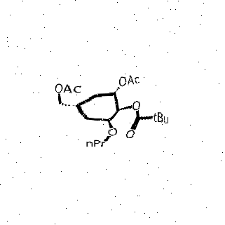 CCCO[C@H]1C[C@H](COC(C)=O)C[C@H](OC(C)=O)[C@H]1OC(=O)C(C)(C)C